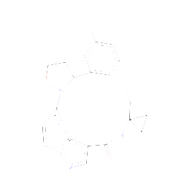 O=C1NC2(CC2)COc2ccc(F)cc2[C@@H]2CCON2c2ccn3ncc1c3n2